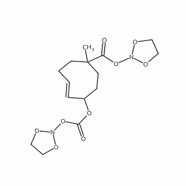 CC1(C(=O)ON2OCCO2)CC/C=C/C(OC(=O)ON2OCCO2)CC1